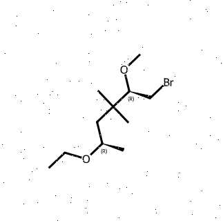 CCO[C@H](C)CC(C)(C)[C@H](CBr)OC